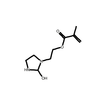 C=C(C)C(=O)OCCN1CCNC1O